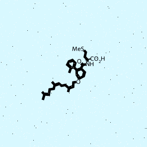 CSCC[C@H](NC(=O)c1ccc(OCC=C(C)CCC=C(C)CCC=C(C)C)cc1-c1ccccc1C)C(=O)O